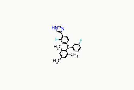 Cc1cc(C)c(B(c2cccc(F)c2)c2ccc(-c3c[nH]cn3)c(F)c2)c(C)c1